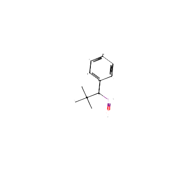 CC(C)(C)C(P=O)c1ccccc1